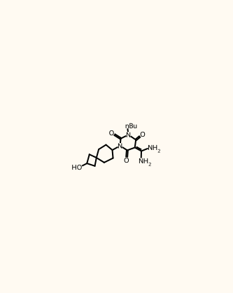 CCCCN1C(=O)C(=C(N)N)C(=O)N(C2CCC3(CC2)CC(O)C3)C1=O